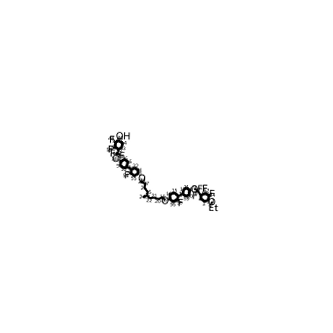 CCOc1ccc(C(F)(F)Oc2ccc(-c3ccc(OCCCCC(C)CCCCOc4ccc(-c5ccc(OC(F)(F)c6ccc(O)c(F)c6F)cc5)c(F)c4)cc3F)cc2)c(F)c1F